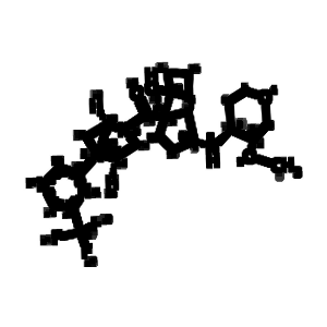 CO[C@@H]1COCC[C@@H]1N[C@@H]1CC[C@@](C(=O)N2C[C@@H]3C[C@H]2CN3c2cncc(C(F)(F)F)n2)(C2(O)CCC2)C1